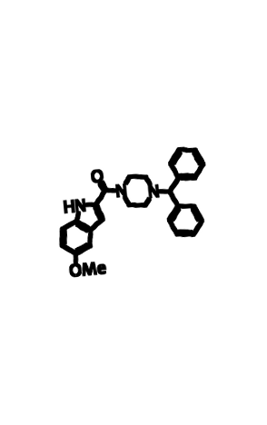 COc1ccc2[nH]c(C(=O)N3CCN(C(c4ccccc4)c4ccccc4)CC3)cc2c1